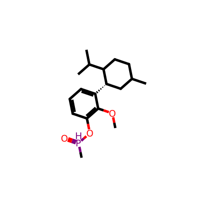 COc1c(O[PH](C)=O)cccc1[C@H]1CC(C)CCC1C(C)C